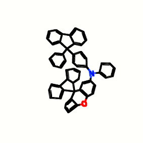 C1=CCC2C(=C1)c1ccccc1C21c2ccccc2Oc2ccc(N(c3ccccc3)c3ccc(C4(c5ccccc5)c5ccccc5-c5ccccc54)cc3)cc21